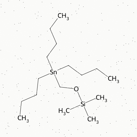 CCC[CH2][Sn]([CH2]CCC)([CH2]CCC)[CH2]O[Si](C)(C)C